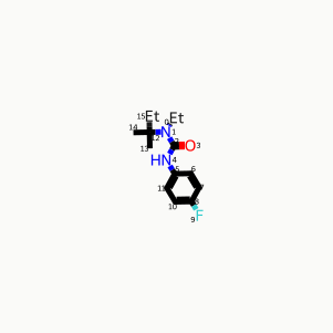 CCN(C(=O)Nc1ccc(F)cc1)C(C)(C)CC